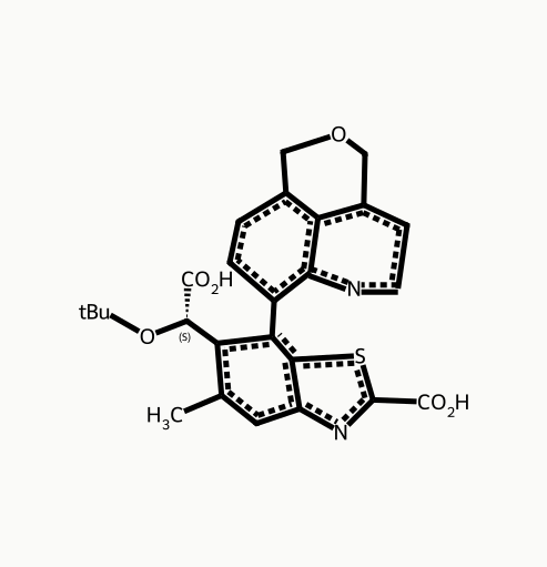 Cc1cc2nc(C(=O)O)sc2c(-c2ccc3c4c(ccnc24)COC3)c1[C@H](OC(C)(C)C)C(=O)O